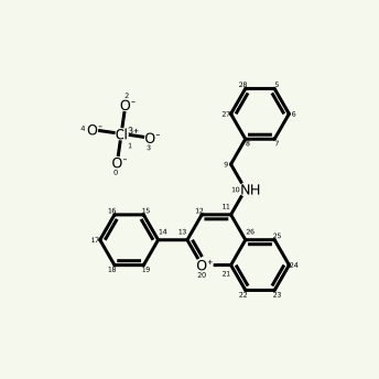 [O-][Cl+3]([O-])([O-])[O-].c1ccc(CNc2cc(-c3ccccc3)[o+]c3ccccc23)cc1